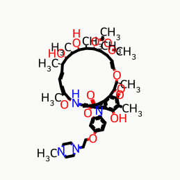 CO[C@H]1/C=C/O[C@@]2(C)Oc3c(C)c(O)c4c(=O)c(c5oc6cc(OCCN7CCN(C)CC7)ccc6nc-5c4c3C2=O)NC(=O)/C(C)=C\C=C\[C@H](C)[C@H](O)[C@@H](C)[C@@H](O)[C@@H](C)[C@H](OC(C)=O)[C@@H]1C